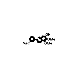 COc1cccc(-c2ccc3c(OC)c(OC)c(O)cc3n2)c1